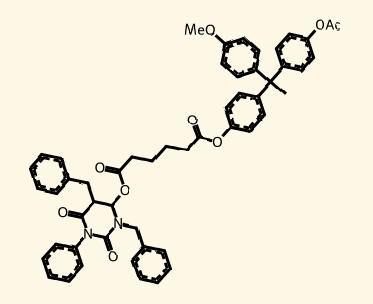 COc1ccc(C(C)(c2ccc(OC(C)=O)cc2)c2ccc(OC(=O)CCCCC(=O)OC3C(Cc4ccccc4)C(=O)N(c4ccccc4)C(=O)N3Cc3ccccc3)cc2)cc1